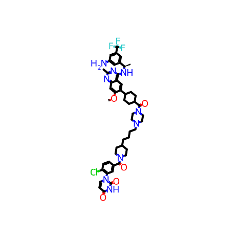 COc1cc2nc(C)nc(N[C@H](C)c3cc(N)cc(C(F)(F)F)c3)c2cc1C1CCC(C(=O)N2CCN(CCCCC3CCN(C(=O)c4ccc(Cl)c(-n5ccc(=O)[nH]c5=O)c4)CC3)CC2)CC1